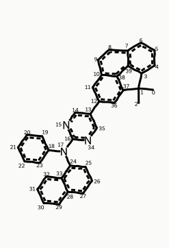 CC1(C)c2cccc3ccc4cc(-c5cnc(N(c6ccccc6)c6cccc7ccccc67)nc5)cc1c4c23